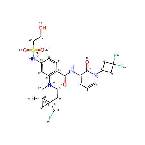 O=C(Nc1cccn(C2CC(F)(F)C2)c1=O)c1ccc(NS(=O)(=O)CCO)cc1N1CC[C@@]2(CF)C[C@H]2C1